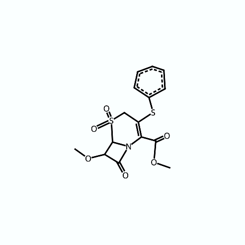 COC(=O)C1=C(Sc2ccccc2)CS(=O)(=O)C2C(OC)C(=O)N12